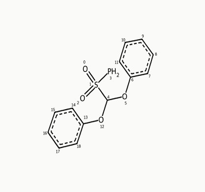 O=S(=O)(P)C(Oc1ccccc1)Oc1ccccc1